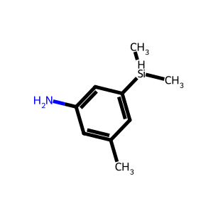 Cc1cc(N)cc([SiH](C)C)c1